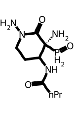 CCCC(=O)NC1CCN(N)C(=O)[C@@]1(N)[PH2]=O